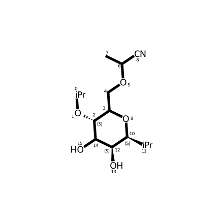 CC(C)O[C@@H]1C(COC(C)C#N)O[C@@H](C(C)C)[C@@H](O)C1O